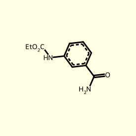 CCOC(=O)Nc1cccc(C(N)=O)c1